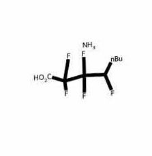 CCCCC(F)C(F)(F)C(F)(F)C(=O)O.N